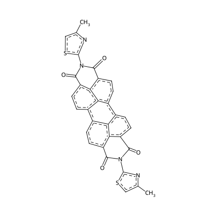 Cc1csc(N2C(=O)c3ccc4c5ccc6c7c(ccc(c8ccc(c3c48)C2=O)c75)C(=O)N(c2nc(C)cs2)C6=O)n1